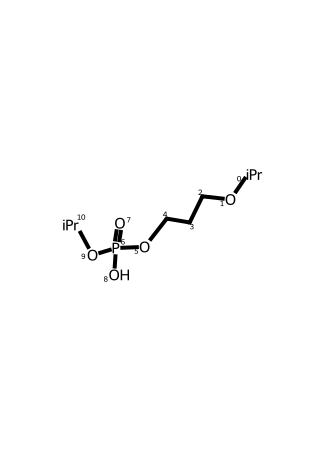 CC(C)OCCCOP(=O)(O)OC(C)C